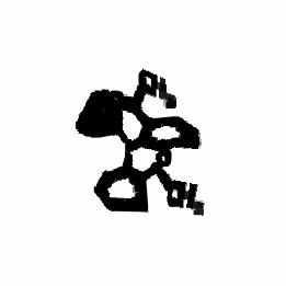 CC(=O)c1ccccc1P(c1ccccc1C(C)=O)[C]12[CH]3[CH]4[CH]5[CH]1[Fe]45321678[CH]2[CH]1[CH]6[CH]7[CH]28